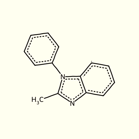 Cc1nc2ccc[c]c2n1-c1ccccc1